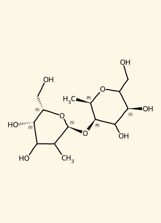 CC1C(O)[C@H](O)[C@H](CO)O[C@H]1O[C@@H]1C(O)[C@H](O)C(CO)O[C@@H]1C